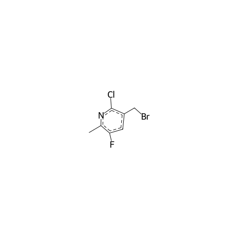 Cc1nc(Cl)c(CBr)cc1F